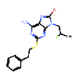 CC(F)Cn1c(Br)nc2c(N)nc(SCCc3ccccc3)nc21